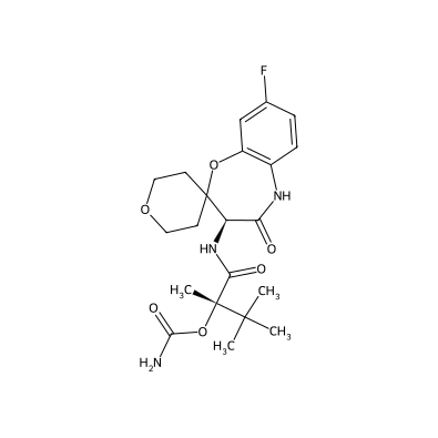 CC(C)(C)[C@](C)(OC(N)=O)C(=O)N[C@@H]1C(=O)Nc2ccc(F)cc2OC12CCOCC2